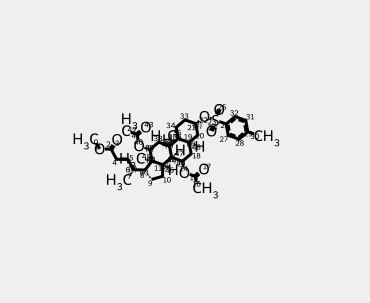 COC(=O)CC[C@@H](C)[C@H]1CC[C@H]2[C@@H]3[C@H](OC(C)=O)C[C@@H]4C[C@H](OS(=O)(=O)c5ccc(C)cc5)CC[C@]4(C)[C@H]3C[C@H](OC(C)=O)[C@]12C